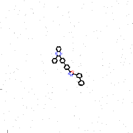 c1ccc(-c2cccc(-c3nnc(-c4ccc(-c5ccc(-c6nc7ccccc7nc6-c6ccccc6)cc5)cc4)o3)c2)cc1